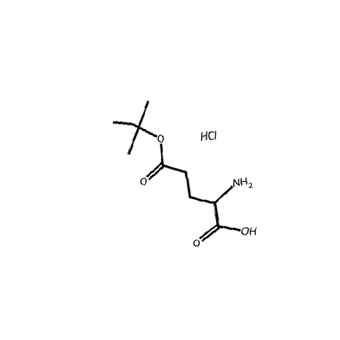 CC(C)(C)OC(=O)CCC(N)C(=O)O.Cl